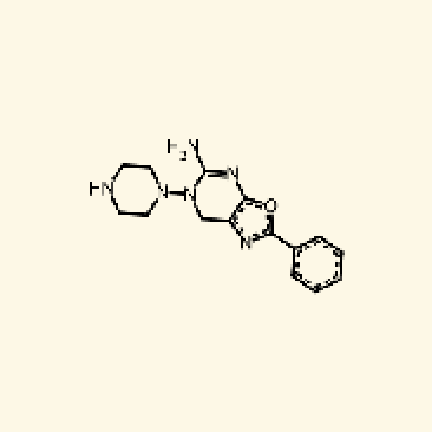 NC1=Nc2oc(-c3ccccc3)nc2CN1N1CCNCC1